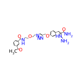 CC(=O)c1cccc(C(=O)NCCOCCn2cc(COc3ccc(C[C@H](NCN)C(N)=O)cc3)nn2)c1